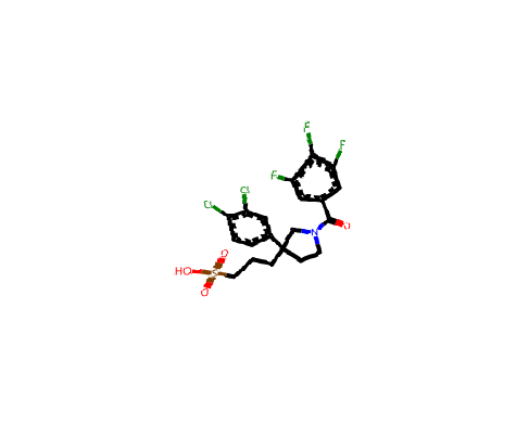 O=C(c1cc(F)c(F)c(F)c1)N1CCC(CCCS(=O)(=O)O)(c2ccc(Cl)c(Cl)c2)C1